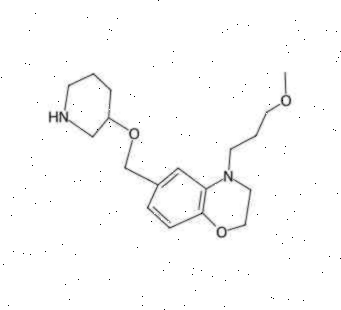 COCCCN1CCOc2ccc(COC3CCCNC3)cc21